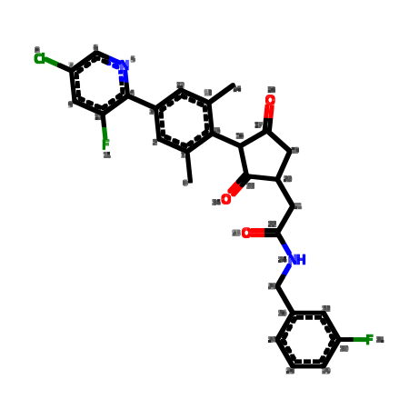 Cc1cc(-c2ncc(Cl)cc2F)cc(C)c1C1C(=O)CC(CC(=O)NCc2cccc(F)c2)C1=O